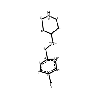 Fc1ccc(CNC2CCNCC2)nc1